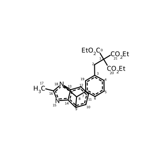 CCOC(=O)C(Cc1cccc(C2c3cccc4c3nc(C)n42)c1)(C(=O)OCC)C(=O)OCC